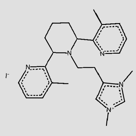 Cc1cccnc1C1CCCC(c2ncccc2C)N1CCc1c[n+](C)cn1C.[I-]